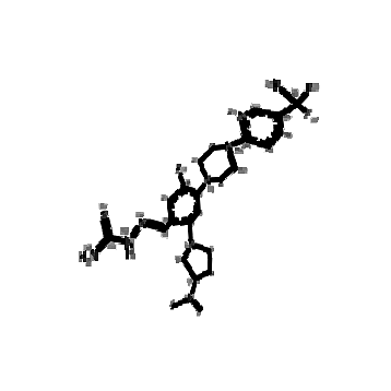 CN(C)[C@@H]1CCN(c2cc(N3CCN(c4ccc(C(F)(F)F)cn4)CC3)c(F)cc2C=NNC(N)=S)C1